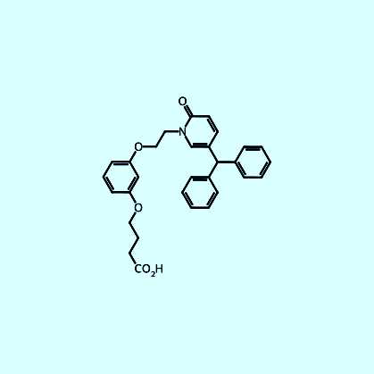 O=C(O)CCCOc1cccc(OCCn2cc(C(c3ccccc3)c3ccccc3)ccc2=O)c1